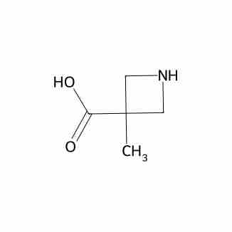 CC1(C(=O)O)CNC1